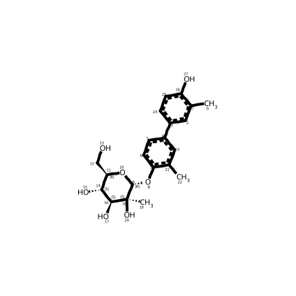 Cc1cc(-c2ccc(O[C@H]3O[C@H](CO)[C@@H](O)[C@H](O)[C@]3(C)O)c(C)c2)ccc1O